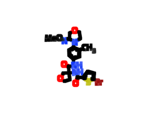 CON=C1COCCN1c1ccc(NC(=O)C2(NC(=O)c3ccc(Br)s3)CCOC2)cc1C